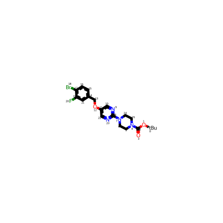 CC(C)(C)OC(=O)N1CCN(c2ncc(OCc3ccc(Br)c(F)c3)cn2)CC1